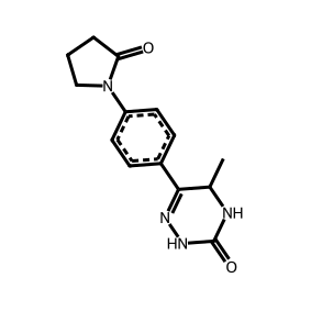 CC1NC(=O)NN=C1c1ccc(N2CCCC2=O)cc1